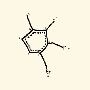 [CH2]Cc1ccc(C)c(F)c1F